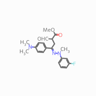 COC(=O)C(C=O)C/C(=N\N(C)c1cccc(F)c1)c1ccc(N(C)C)cc1